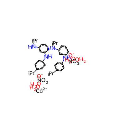 CC(C)Nc1cccc(Nc2ccc(C(C)C)cc2)c1.CC(C)Nc1cccc(Nc2ccc(C(C)C)cc2)c1.O.O.O.O.O=[N+]([O-])[O-].O=[N+]([O-])[O-].[Cd+2]